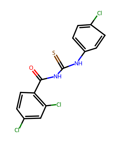 O=C(NC(=S)Nc1ccc(Cl)cc1)c1ccc(Cl)cc1Cl